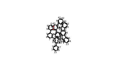 c1ccc(-c2cccc(C3=NC(c4ccccc4)NC(n4c5ccccc5c5cc6c7ccccc7n(-c7c(-c8ccccc8)cccc7-c7ccccc7)c6cc54)=N3)c2)cc1